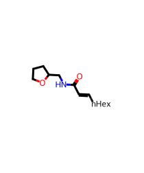 CCCCCCC=CC(=O)NCC1CCCO1